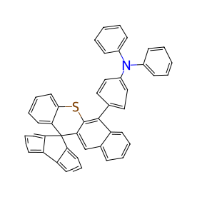 c1ccc(N(c2ccccc2)c2ccc(-c3c4c(cc5ccccc35)C3(c5ccccc5S4)c4ccccc4-c4ccccc43)cc2)cc1